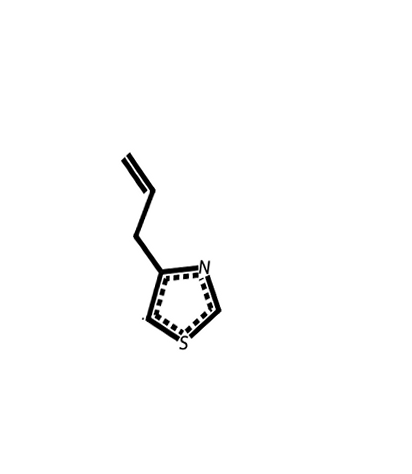 C=CCc1[c]scn1